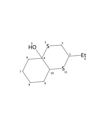 CCC1CSC2(O)CCCCC2S1